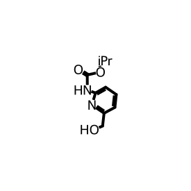 CC(C)OC(=O)Nc1cccc(CO)n1